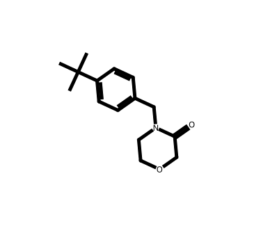 CC(C)(C)c1ccc(CN2CCOCC2=O)cc1